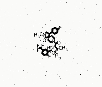 CC(C)[C@@H](NC(=O)c1cc(C(F)(F)F)ccc1F)C(=O)N1CCC2(CC1)C(=O)N(C)CC2c1ccc(F)cc1